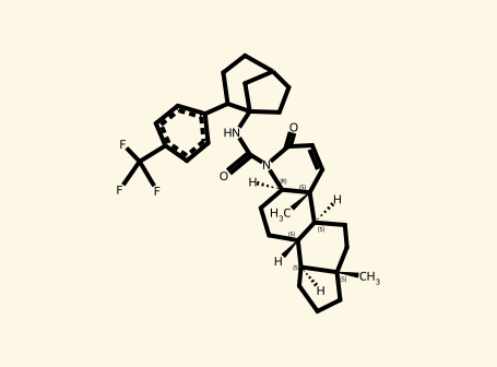 C[C@@]12CCC[C@H]1[C@@H]1CC[C@H]3N(C(=O)NC45CCC(CCC4c4ccc(C(F)(F)F)cc4)C5)C(=O)C=C[C@]3(C)[C@H]1CC2